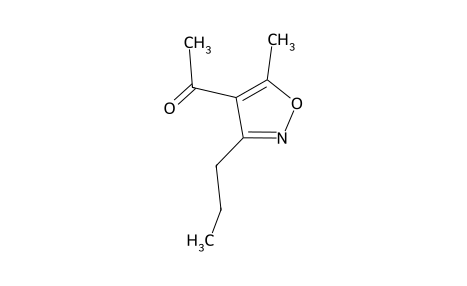 CCCc1noc(C)c1C(C)=O